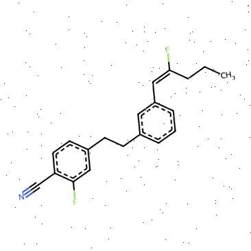 CCC/C(F)=C\c1cccc(CCc2ccc(C#N)c(F)c2)c1